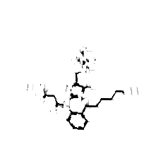 CCCCCC(=O)c1ccccc1N(C(=O)CC(N)=O)c1nc(CNS(C)(=O)=O)c(Cl)s1